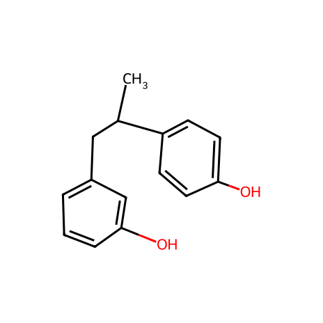 CC(Cc1cccc(O)c1)c1ccc(O)cc1